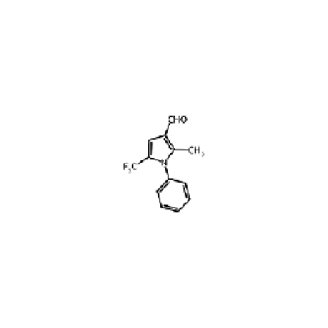 Cc1c(C=O)cc(C(F)(F)F)n1-c1ccccc1